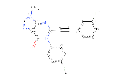 Cn1cnc2c(=O)n(-c3ccc(Cl)cc3)c(C#Cc3cccc(F)c3)nc21